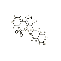 O=C(C1=C(O)c2ccccc2S(=O)(=O)N1)c1ccc2ccccc2c1